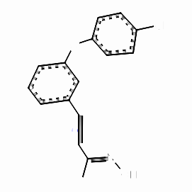 CC(/C=C/c1cccc(Oc2ccc(Cl)cc2)c1)=NO